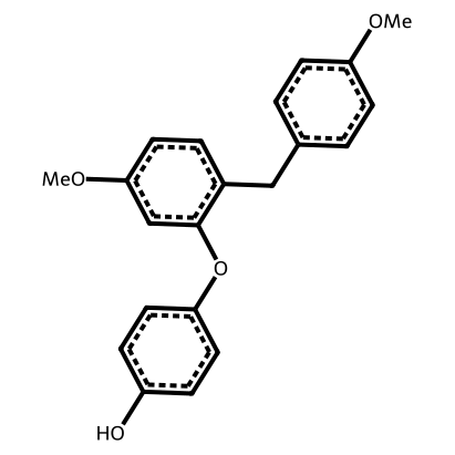 COc1ccc(Cc2ccc(OC)cc2Oc2ccc(O)cc2)cc1